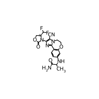 CC(Nc1ccc2c(c1)OCCn1c-2nc(N2C(=O)OC[C@H]2C(F)F)c1C#N)C(N)=O